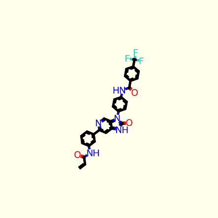 C=CC(=O)Nc1cccc(-c2cc3[nH]c(=O)n(-c4ccc(NC(=O)c5ccc(C(F)(F)F)cc5)cc4)c3cn2)c1